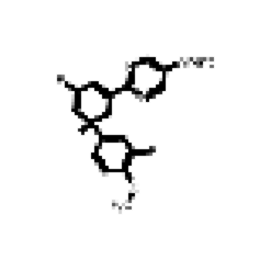 CCCCCc1cnc(C2=CC(F)=CC(F)(c3ccc(OC(F)(F)F)c(F)c3)C2)nc1